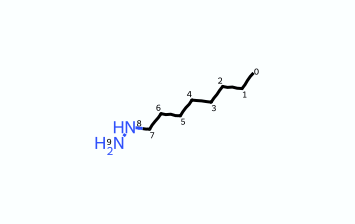 CCCCCCCCNN